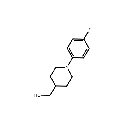 OCC1CCN(c2ccc(F)cc2)CC1